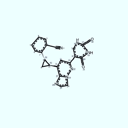 N#Cc1ccccc1[C@H]1C[C@@H]1c1cc(-c2c[nH]c(=O)[nH]c2=O)nn2ccnc12